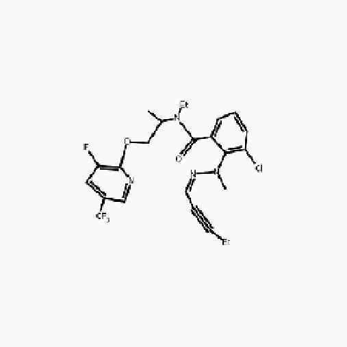 CCC#C/C=N\N(C)c1c(Cl)cccc1C(=O)N(CC)C(C)COc1ncc(C(F)(F)F)cc1F